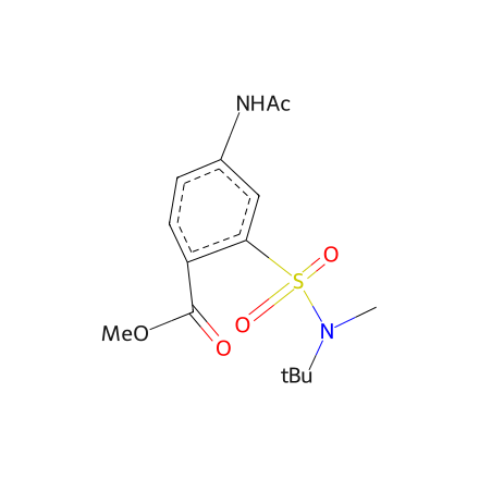 COC(=O)c1ccc(NC(C)=O)cc1S(=O)(=O)N(C)C(C)(C)C